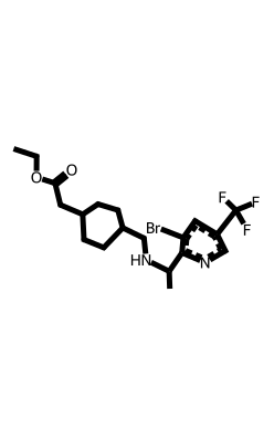 CCOC(=O)CC1CCC(CNC(C)c2ncc(C(F)(F)F)cc2Br)CC1